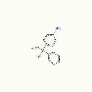 Cl.Nc1ccc(C(O)(c2ccccc2)C(F)(F)F)cc1